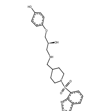 O=S(=O)(c1cccc2nsnc12)N1CCC(CNC[C@H](O)COc2ccc(O)cc2)CC1